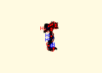 C=CCOC(=O)N[C@H](C(=O)N[C@@H](C)C(=O)Nc1ccc(NC(=O)c2cc(NC(=O)CCCOc3cc4c(cc3O[C@@H]3O[C@H](C(=O)OC)[C@@H](OC(C)=O)[C@H](OC(C)=O)[C@H]3OC(C)=O)C(=O)N3CCCC[C@H]3C(O)N4C(=O)OCC=C)cn2C)cc1)C(C)C